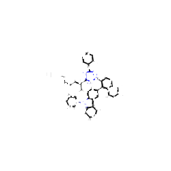 CC/C=C\C=C(/CC)c1nc(-c2ccccc2)nc(-c2ccc3ccccc3c2-c2ccc3c(c2)c2ccccc2n3-c2ccccc2)n1